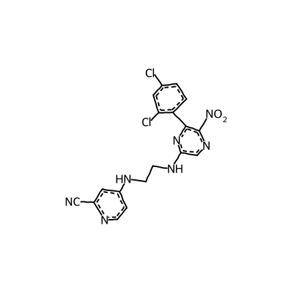 N#Cc1cc(NCCNc2cnc([N+](=O)[O-])c(-c3ccc(Cl)cc3Cl)n2)ccn1